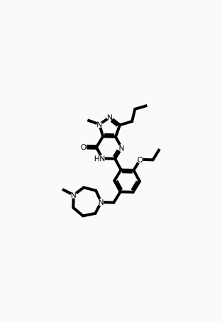 CCCc1nn(C)c2c(=O)[nH]c(-c3cc(CN4CCCN(C)CC4)ccc3OCC)nc12